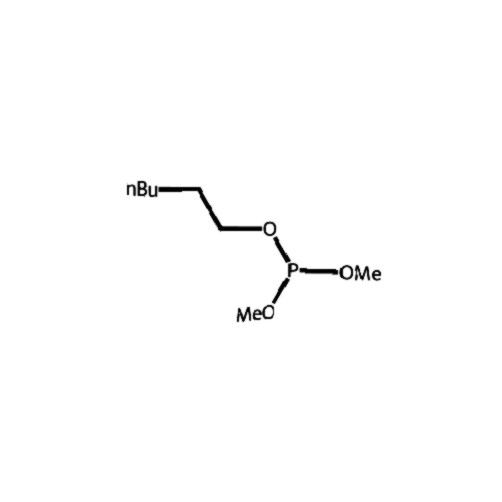 CCCCCCOP(OC)OC